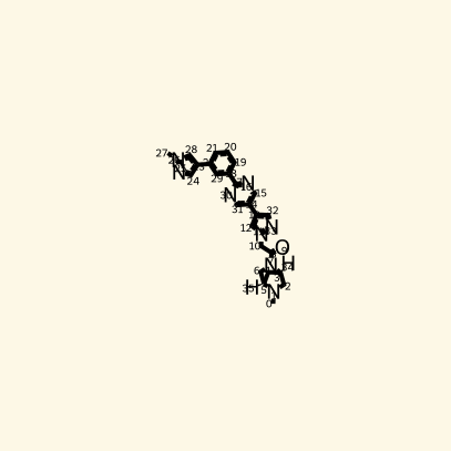 CN1C[C@H]2C[C@@H]1CN2C(=O)Cn1cc(-c2cnc(-c3cccc(-c4cnn(C)c4)c3)nc2)cn1